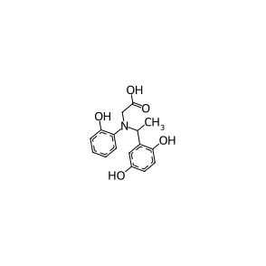 CC(c1cc(O)ccc1O)N(CC(=O)O)c1ccccc1O